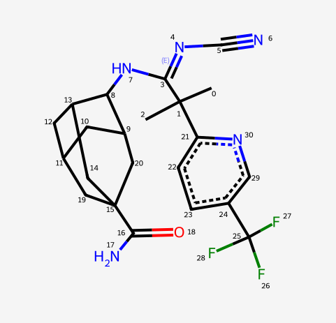 CC(C)(/C(=N\C#N)NC1C2CC3CC1CC(C(N)=O)(C3)C2)c1ccc(C(F)(F)F)cn1